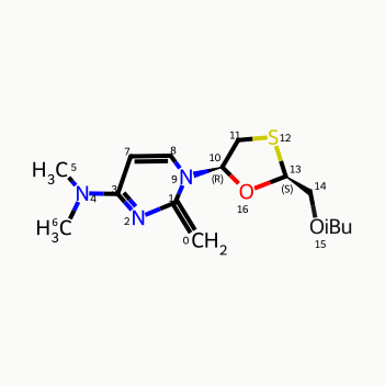 C=C1N=C(N(C)C)C=CN1[C@H]1CS[C@@H](COCC(C)C)O1